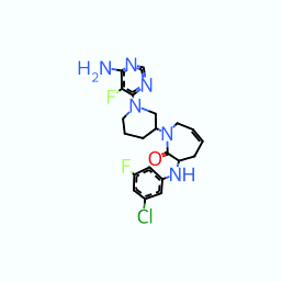 Nc1ncnc(N2CCCC(N3CC=CCC(Nc4cc(F)cc(Cl)c4)C3=O)C2)c1F